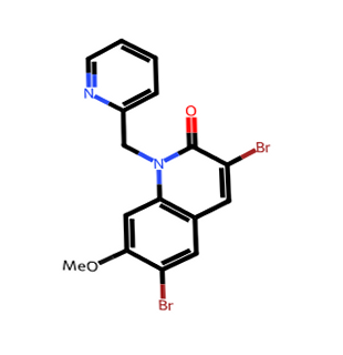 COc1cc2c(cc1Br)cc(Br)c(=O)n2Cc1ccccn1